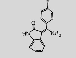 NC(=C1C(=O)Nc2ccccc21)c1ccc(F)cc1